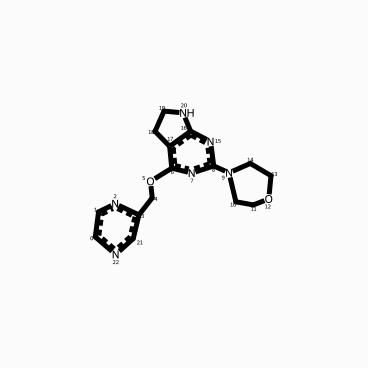 c1cnc(COc2nc(N3CCOCC3)nc3c2CCN3)cn1